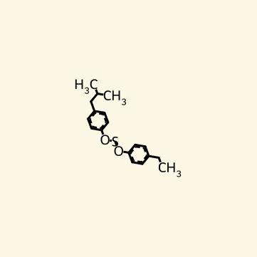 CCc1ccc(OSOc2ccc(CC(C)C)cc2)cc1